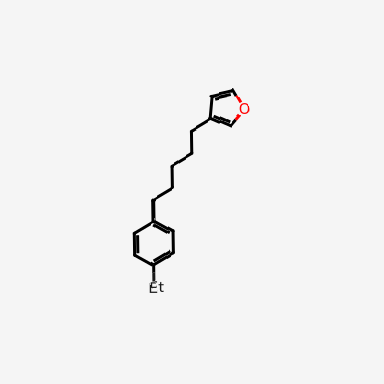 CCc1ccc(CCCCCc2ccoc2)cc1